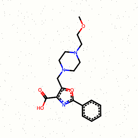 COCCN1CCN(Cc2oc(-c3ccccc3)nc2C(=O)O)CC1